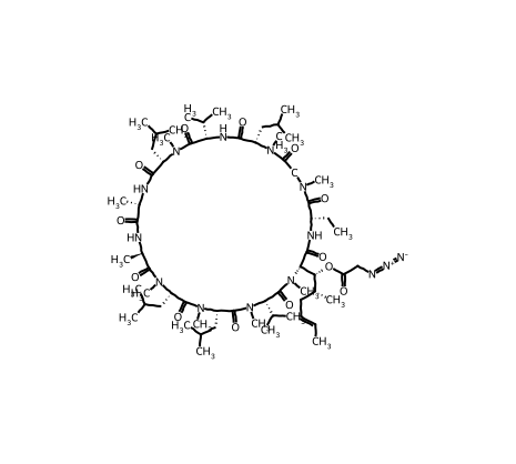 C/C=C/C[C@@H](C)[C@@H](OC(=O)CN=[N+]=[N-])[C@H]1C(=O)N[C@@H](CC)C(=O)N(C)CC(=O)N(C)[C@@H](CC(C)C)C(=O)N[C@@H](C(C)C)C(=O)N(C)[C@@H](CC(C)C)C(=O)N[C@@H](C)C(=O)N[C@H](C)C(=O)N(C)[C@@H](CC(C)C)C(=O)N(C)[C@@H](CC(C)C)C(=O)N(C)[C@@H](C(C)C)C(=O)N1C